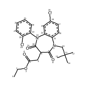 CCOC(=O)CC1C(=O)N(CC(C)(C)C)c2ccc(Cl)cc2N(c2ccccc2Cl)C1=O